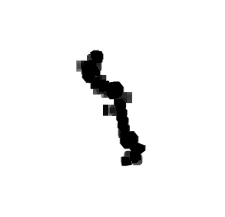 CCOC(=O)C1CC1c1ccc(OCCCCCC(O)CCNc2cccc(Sc3cnc(N4CCC(C)(NC(=O)OC(C)(C)C)CC4)cn3)c2)cc1